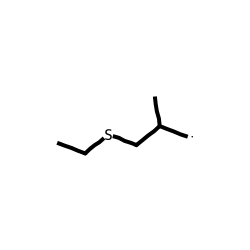 [CH2]C(C)CSCC